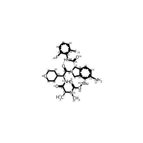 C[C@@H](C(=O)N[C@H](C(=O)N1Cc2cc(N)ccc2[C@H]1C(=O)Nc1c(F)cccc1F)C1CCOCC1)N(C)C(=O)OC(C)(C)C